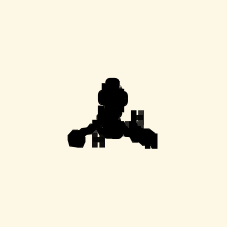 CO[C@@H]1CO[C@H]2[C@@H]1OC[C@H]2Oc1ncc(NCCCc2ccccc2)c(=O)n1CC(=O)NCc1cc2cnccc2[nH]1